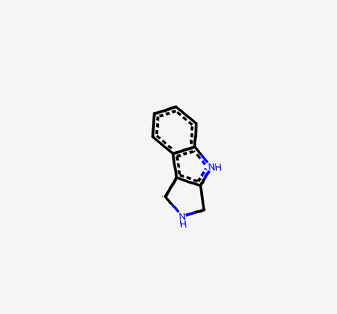 [CH]1NCc2[nH]c3ccccc3c21